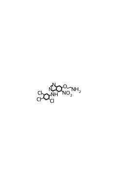 NCCOc1cc2ncnc(Nc3cc(Cl)c(Cl)cc3Cl)c2cc1[N+](=O)[O-]